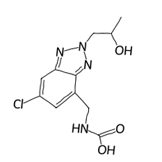 CC(O)Cn1nc2cc(Cl)cc(CNC(=O)O)c2n1